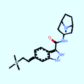 CN1C2CCC1CC(NC(=O)C1=c3ccc(=CC[Si](C)(C)C)cc3NN1)C2